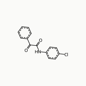 O=C(Nc1ccc(Cl)cc1)C(=O)c1ccccc1